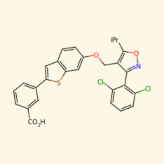 CC(C)c1onc(-c2c(Cl)cccc2Cl)c1COc1ccc2cc(-c3cccc(C(=O)O)c3)sc2c1